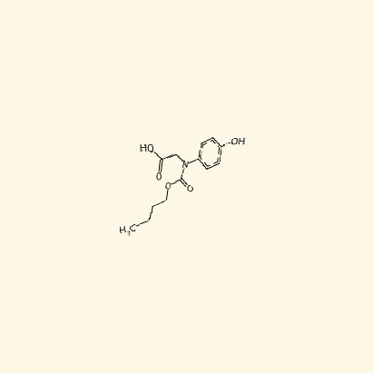 CCCCOC(=O)N(CC(=O)O)c1ccc(O)cc1